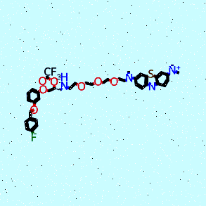 CN(CCOCCOCCOCCNC[C@H](COc1cccc(OCc2ccc(F)cc2)c1)OC(=O)C(F)(F)F)c1ccc2nc3ccc(=[N+](C)C)cc-3sc2c1